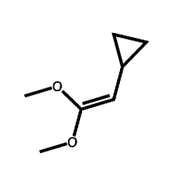 COC(=CC1CC1)OC